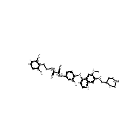 COc1cc2c(Oc3ccc(NC(=O)C(=O)NCCc4c(Cl)cccc4Cl)cc3F)ccnc2cc1OCC1CCNCC1